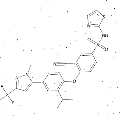 CC(C)c1cc(-c2cc(C(F)(F)F)nn2C)ccc1Oc1ccc(S(=O)(=O)Nc2nccs2)cc1C#N